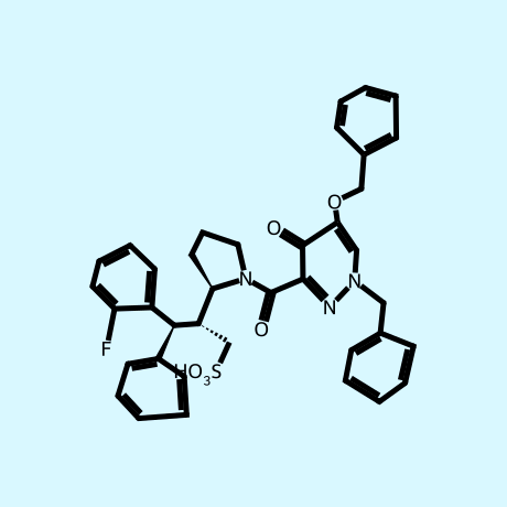 O=C(c1nn(Cc2ccccc2)cc(OCc2ccccc2)c1=O)N1CCC[C@@H]1[C@H](CS(=O)(=O)O)[C@@H](c1ccccc1)c1ccccc1F